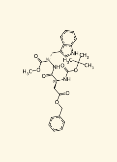 COC(=O)[C@H](Cc1c[nH]c2ccccc12)NC(=O)[C@H](CC(=O)OCc1ccccc1)NC(=O)OC(C)(C)C